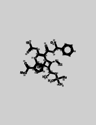 CCS[C@@H]1[C@@H]([C@@H](C)O[Si](C)(C)C(C)(C)C)C(=O)N1C(C(=O)OC(c1ccccc1)[N+](=O)[O-])=C(Oc1ccsc1C(=O)OC)SC(=O)C(C)(C)C